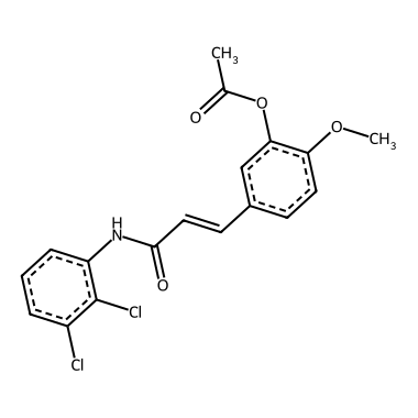 COc1ccc(/C=C/C(=O)Nc2cccc(Cl)c2Cl)cc1OC(C)=O